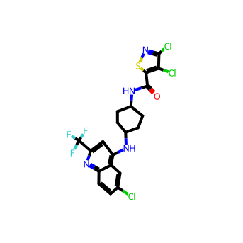 O=C(NC1CCC(Nc2cc(C(F)(F)F)nc3ccc(Cl)cc23)CC1)c1snc(Cl)c1Cl